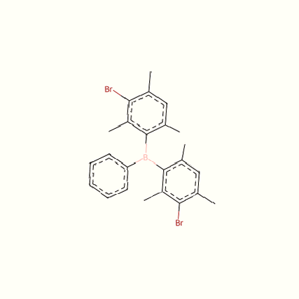 Cc1cc(C)c(B(c2ccccc2)c2c(C)cc(C)c(Br)c2C)c(C)c1Br